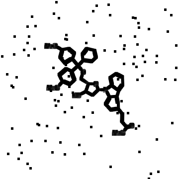 COC(=O)/C=C/c1ccc2c(c1)c1ccccc1n2[C@H]1CC(O)[C@@H](COC(c2ccccc2)(c2ccc(OC)cc2)c2ccc(OC)cc2)O1